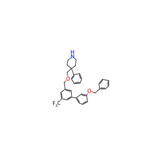 FC(F)(F)c1cc(COCC2(c3ccccc3)CCNCC2)cc(-c2cccc(OCc3ccccc3)c2)c1